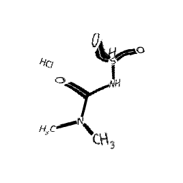 CN(C)C(=O)N[SH](=O)=O.Cl